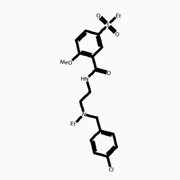 CCN(CCNC(=O)c1cc(S(=O)(=O)CC)ccc1OC)Cc1ccc(Cl)cc1